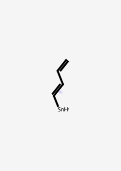 C=C/C=[CH]/[SnH]